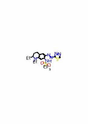 CCC1CCc2cc(N=Nc3nncs3)c(NS(=O)(=O)C(F)(F)F)cc2N1CC